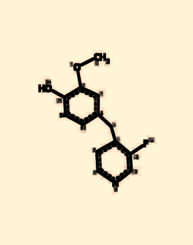 COc1cc(Cc2ccncc2F)ccc1O